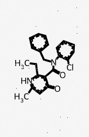 CCc1[nH]c(C)cc(=O)c1C(=O)N(Cc1ccccc1)c1ccccc1Cl